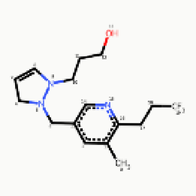 Cc1cc(CN2CC=CN2CCCO)cnc1CCC(F)(F)F